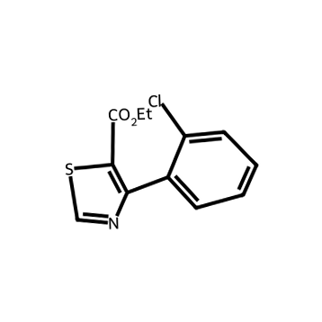 CCOC(=O)c1scnc1-c1ccccc1Cl